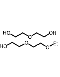 CCOCCOCCO.OCCOCCO